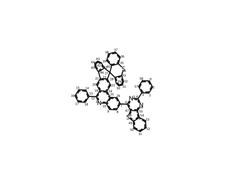 c1ccc(-c2nc(-c3ccc4nc(-c5ccccc5)c5cc6c(cc5c4c3)C3(c4ccccc4Sc4ccccc43)c3ccccc3-6)c3sc4ccccc4c3n2)cc1